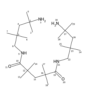 CC(C)(N)CC(C)(C)CNC(=O)C(C)(C)CC(C)(C)C(=O)NCC(C)(C)CC(C)(C)N